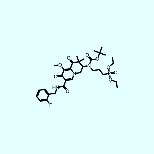 CCOP(=O)(CCCN(C(=O)OC(C)(C)C)C1Cn2cc(C(=O)NCc3ccccc3F)c(=O)c(OC)c2C(=O)C1(C)C)OCC